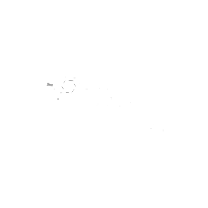 CCCCCCCCC1CCC(COc2ccc(C#N)c(F)c2)CC1